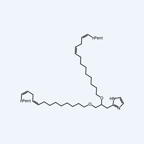 CCCCC/C=C\C/C=C\CCCCCCCCOCC(Cc1ncc[nH]1)OCCCCCCCC/C=C\C/C=C\CCCCC